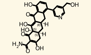 NC(=O)C1=C(O)C[C@@H]2C[C@@H]3Cc4c(-c5cncc(CO)c5)ccc(O)c4C(=O)C3=C(O)[C@]2(O)C1=O